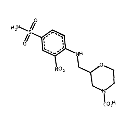 NS(=O)(=O)c1ccc(NCC2CN(C(=O)O)CCO2)c([N+](=O)[O-])c1